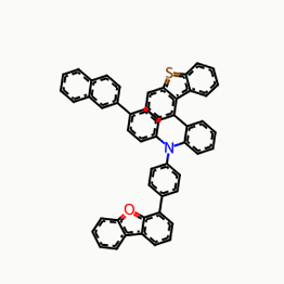 c1ccc(N(c2ccc(-c3ccc4ccccc4c3)cc2)c2ccc(-c3cccc4c3oc3ccccc34)cc2)c(-c2cccc3sc4ccccc4c23)c1